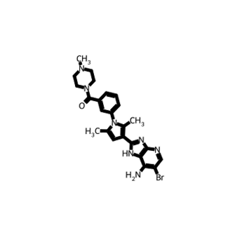 Cc1cc(-c2nc3ncc(Br)c(N)c3[nH]2)c(C)n1-c1cccc(C(=O)N2CCN(C)CC2)c1